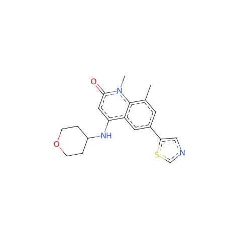 Cc1cc(-c2cncs2)cc2c(NC3CCOCC3)cc(=O)n(C)c12